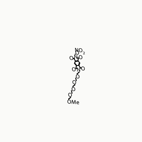 COCCOCCOCCOCCOCCn1c(=O)c2cc3c(=O)n(CO[N+](=O)[O-])c(=O)c3cc2c1=O